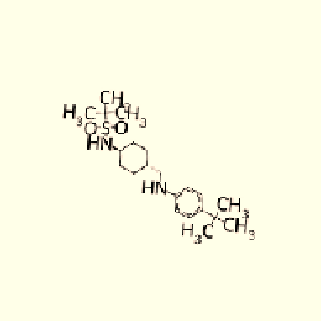 CC(C)(C)c1ccc(NC[C@H]2CC[C@H](NS(=O)(=O)C(C)(C)C)CC2)cc1